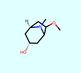 COC1C[C@@H]2C[C@@H](O)CC1N2C